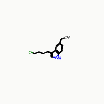 N#CCc1ccc2[nH]cc(CCCCCl)c2c1